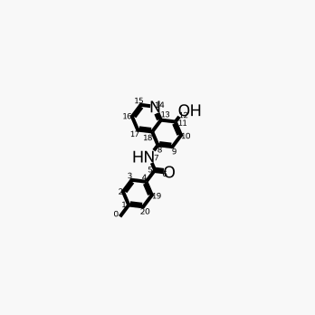 Cc1ccc(C(=O)Nc2ccc(O)c3ncccc23)cc1